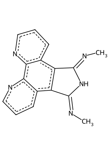 C/N=C1\N/C(=N\C)c2c1c1cccnc1c1ncccc21